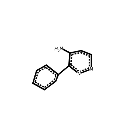 Nc1ccnnc1-c1ccccc1